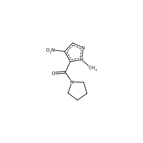 Cn1ncc([N+](=O)[O-])c1C(=O)N1CCCC1